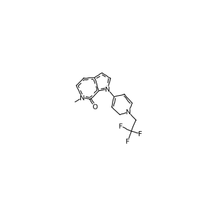 Cn1ccc2ccn(C3=CCN(CC(F)(F)F)C=C3)c2c1=O